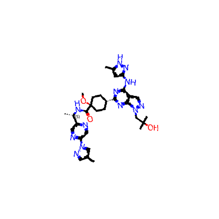 CO[C@]1(C(=O)N[C@@H](C)c2cnc(-n3cc(C)cn3)cn2)CC[C@@H](c2nc(Nc3cc(C)[nH]n3)c3cnn(CC(C)(C)O)c3n2)CC1